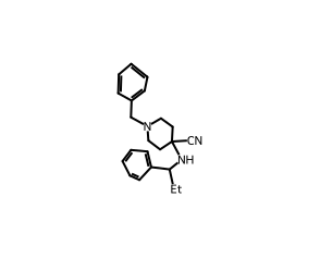 CCC(NC1(C#N)CCN(Cc2ccccc2)CC1)c1ccccc1